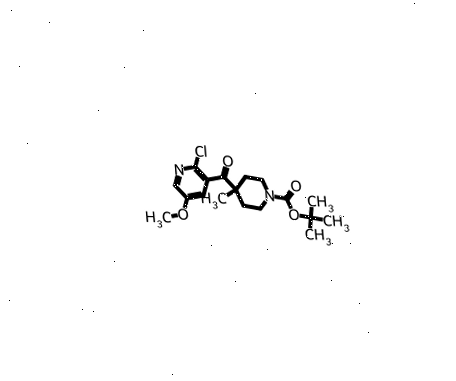 COc1cnc(Cl)c(C(=O)C2(C)CCN(C(=O)OC(C)(C)C)CC2)c1